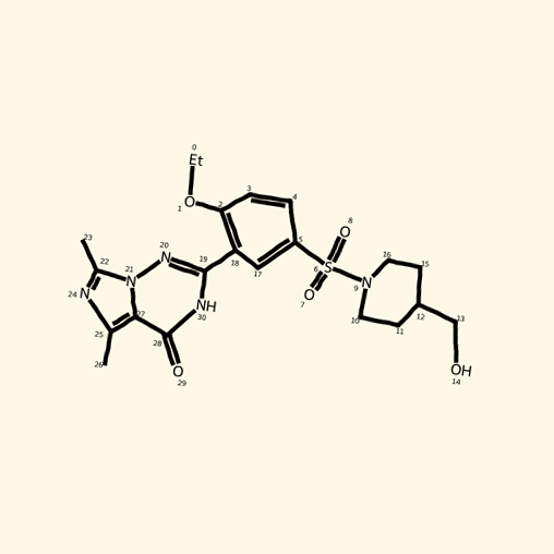 CCOc1ccc(S(=O)(=O)N2CCC(CO)CC2)cc1-c1nn2c(C)nc(C)c2c(=O)[nH]1